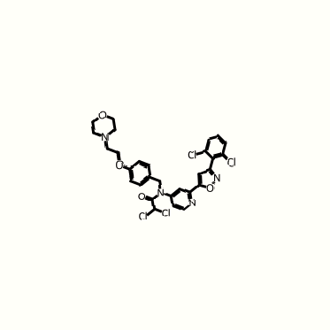 O=C(C(Cl)Cl)N(Cc1ccc(OCCN2CCOCC2)cc1)c1ccnc(-c2cc(-c3c(Cl)cccc3Cl)no2)c1